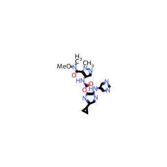 CON(C)C(=O)c1c(NC(=O)Oc2nc(C3CC3)cnc2Nc2cncnc2)cnn1C